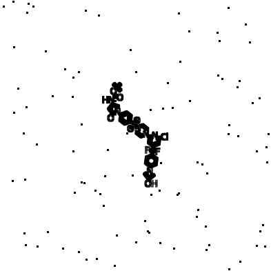 CC(C)(C)OC(=O)N[C@@H]1CC(=O)N(c2ccc(S(=O)(=O)N3CCN(c4cc(C(F)(F)C5CCC(N6CC(O)C6)CC5)cc(Cl)n4)CC3)cc2)C1